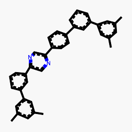 Cc1cc(C)cc(-c2cccc(-c3ccc(-c4cnc(-c5cccc(-c6cc(C)cc(C)c6)c5)cn4)cc3)c2)c1